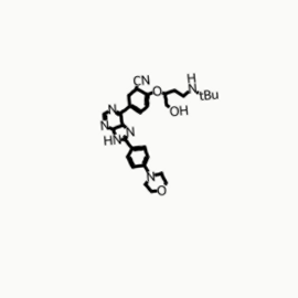 CC(C)(C)NCCC(CO)OC1=CC=C(C2=NC=NC3NC(c4ccc(N5CCOCC5)cc4)=NC23)CC1C#N